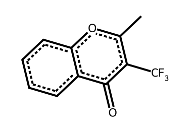 Cc1oc2ccccc2c(=O)c1C(F)(F)F